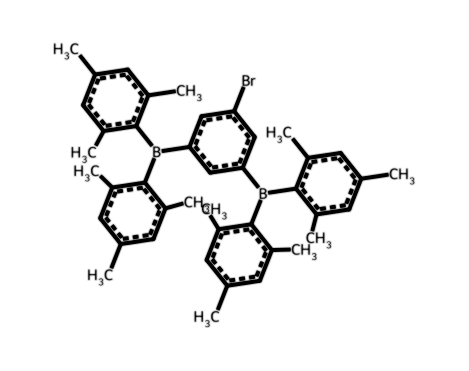 Cc1cc(C)c(B(c2cc(Br)cc(B(c3c(C)cc(C)cc3C)c3c(C)cc(C)cc3C)c2)c2c(C)cc(C)cc2C)c(C)c1